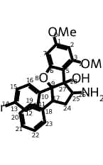 COc1cc(OC)c2c(c1)OC1(c3ccc(Br)cc3)C(c3ccccc3)CC(N)C21O